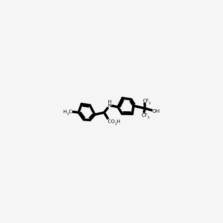 Cc1ccc(C(Nc2ccc(C(O)(C(F)(F)F)C(F)(F)F)cc2)C(=O)O)cc1